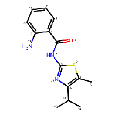 Cc1sc(NC(=O)c2ccccc2N)nc1C(C)C